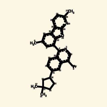 Cc1cc(-c2ncc(C(C)C)c3cc(C4CCC(C)(C)C4)ccc23)c2oc3nc(C)ccc3c2c1